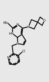 CC(C)(C)C1=NC(N2CC3(COC3)C2)=C2C=CN(Cc3ncccc3Cl)C2N1